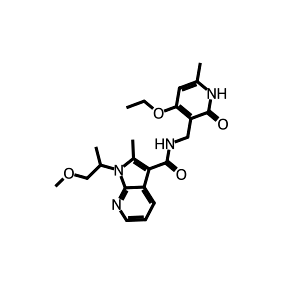 CCOc1cc(C)[nH]c(=O)c1CNC(=O)c1c(C)n(C(C)COC)c2ncccc12